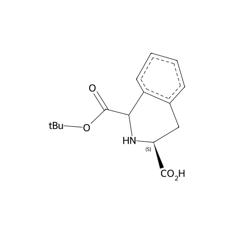 CC(C)(C)OC(=O)C1N[C@H](C(=O)O)Cc2ccccc21